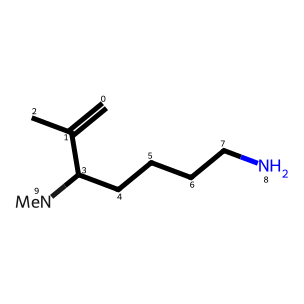 C=C(C)C(CCCCN)NC